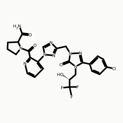 NC(=O)C1CCCN1C(=O)c1ncccc1-n1cnc(Cn2nc(-c3ccc(Cl)cc3)n(C[C@@H](O)C(F)(F)F)c2=O)n1